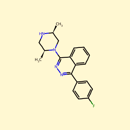 C[C@H]1CN(c2nnc(-c3ccc(F)cc3)c3ccccc23)[C@@H](C)CN1